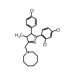 CC1C(CN2CCCCCCC2)=NN(c2ccc(Cl)cc2Cl)C1c1ccc(Cl)cc1